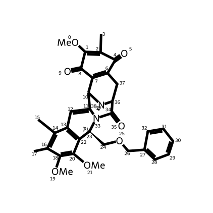 COC1=C(C)C(=O)C2=C(C1=O)C1C3=Cc4c(C)c(C)c(OC)c(OC)c4[C@H](COCc4ccccc4)N3C(=O)C(C2)N1C